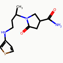 CC(CCNc1ccsc1)N1CC(C(N)=O)CC1=O